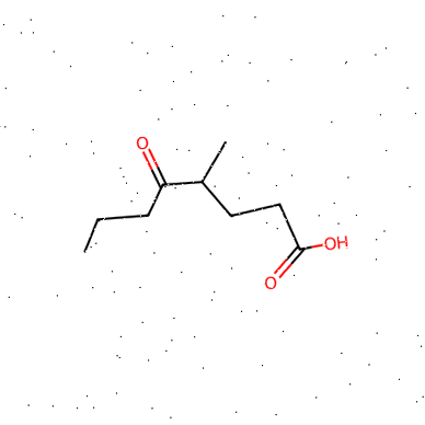 CCCC(=O)C(C)CCC(=O)O